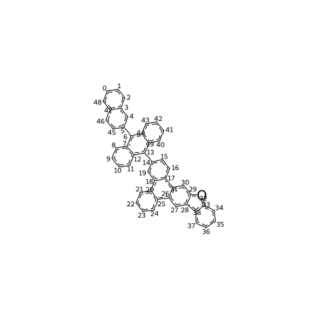 c1ccc2cc(-c3c4ccccc4c(-c4ccc5c(c4)c4ccccc4c4cc6c(cc54)oc4ccccc46)c4ccccc34)ccc2c1